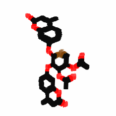 CC(=O)O[C@@H]1[C@@H](Oc2ccc3c(C)cc(=O)oc3c2)[C@@H](Oc2ccc3c(C)cc(=O)oc3c2)SC[C@H]1OC(C)=O